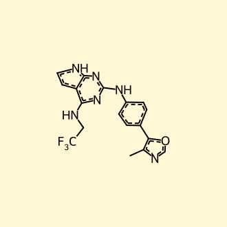 Cc1ncoc1-c1ccc(Nc2nc(NCC(F)(F)F)c3cc[nH]c3n2)cc1